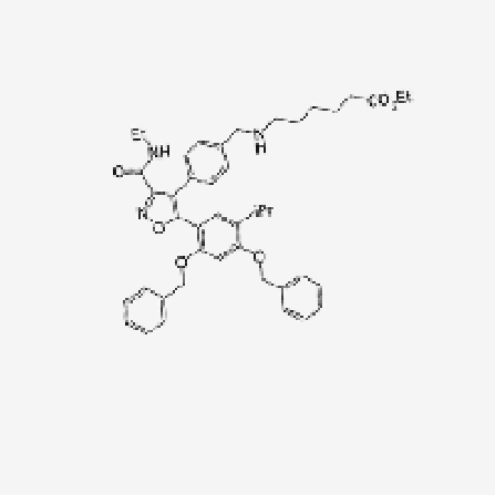 CCNC(=O)c1noc(-c2cc(C(C)C)c(OCc3ccccc3)cc2OCc2ccccc2)c1-c1ccc(CNCCCCCC(=O)OCC)cc1